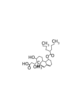 CCCCC(CCCC)C(=O)OC1CCC=C2C=CC(C)C(CCC(O)CC(O)CC(=O)O)C21